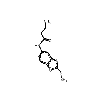 BSc1nc2cc(NC(=O)CCC)ccc2o1